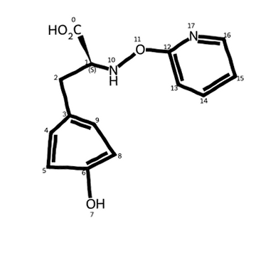 O=C(O)[C@H](Cc1ccc(O)cc1)NOc1ccccn1